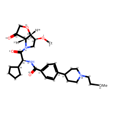 CCO[C@H]1CN(C(=O)[C@@H](NC(=O)c2ccc(C3CCN(CCOC)CC3)cc2)C2CCCC2)[C@@H]2C(=O)CO[C@H]12